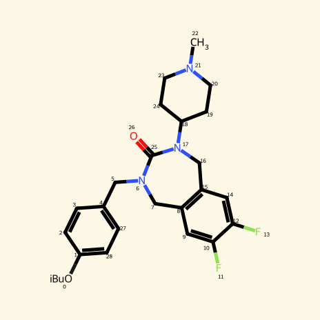 CC(C)COc1ccc(CN2Cc3cc(F)c(F)cc3CN(C3CCN(C)CC3)C2=O)cc1